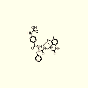 Cc1ccc2c(c1F)[C@@]1(CCCN(C(=O)[C@H](Cc3ccccc3)NC(=O)c3ccc(NC(=O)O)cc3)C1)OC(=O)N2